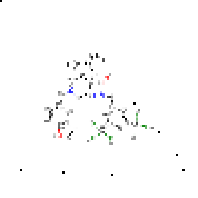 CC(C)CC1(C(=O)NCc2cc(C(F)(F)F)cc(C(F)(F)F)c2)CCN(Cc2ccc3c(c2)CCO3)CC1